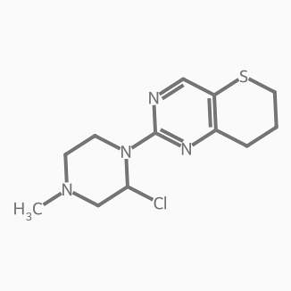 CN1CCN(c2ncc3c(n2)CCCS3)C(Cl)C1